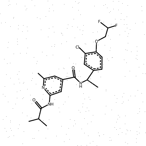 Cc1cc(C(=O)NC(C)c2ccc(OCC(F)F)c(Cl)c2)cc(NC(=O)C(C)C)n1